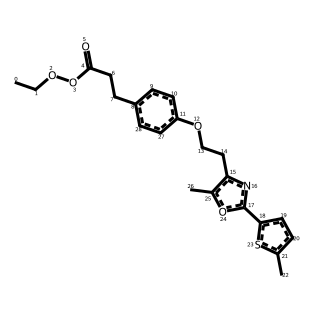 CCOOC(=O)CCc1ccc(OCCc2nc(-c3ccc(C)s3)oc2C)cc1